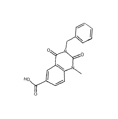 Cn1c(=O)n(Cc2ccccc2)c(=O)c2cc(C(=O)O)ccc21